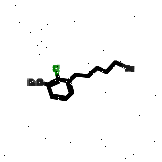 CC(=O)CCCCCc1cccc(OCC(C)C)c1Cl